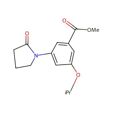 COC(=O)c1cc(OC(C)C)cc(N2CCCC2=O)c1